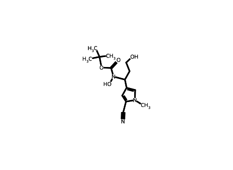 Cn1cc(C(CCO)N(O)C(=O)OC(C)(C)C)cc1C#N